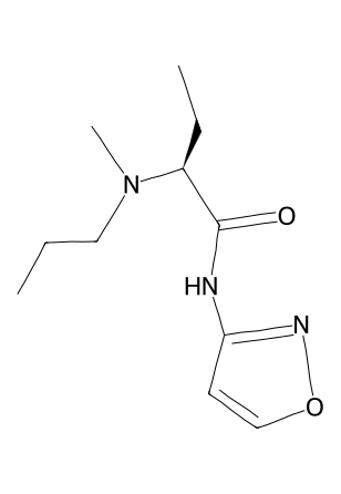 CCCN(C)[C@@H](CC)C(=O)Nc1ccon1